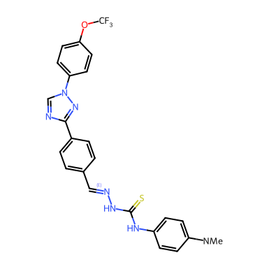 CNc1ccc(NC(=S)N/N=C/c2ccc(-c3ncn(-c4ccc(OC(F)(F)F)cc4)n3)cc2)cc1